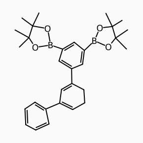 CC1(C)OB(c2cc(B3OC(C)(C)C(C)(C)O3)cc(C3=CC(c4ccccc4)=CCC3)c2)OC1(C)C